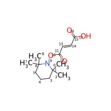 CC1(C)CCCC(C)(C)N1OC(=O)/C=C/C(=O)O